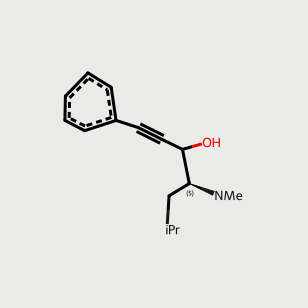 CN[C@@H](CC(C)C)C(O)C#Cc1ccccc1